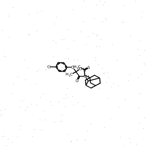 CC(=S)CC12CC3CC(C1)C(NC(=O)C(C)(C)Oc1ccc(Cl)cc1)C(C3)C2